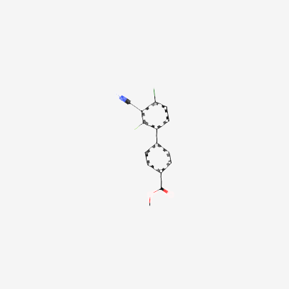 COC(=O)c1ccc(-c2ccc(Cl)c(C#N)c2F)cc1